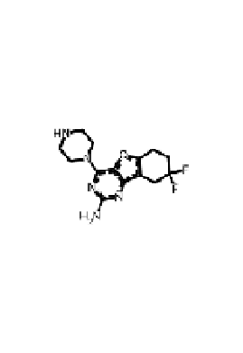 Nc1nc(N2CCNCC2)c2oc3c(c2n1)CC(F)(F)CC3